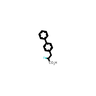 O=C(O)C(F)Cc1ccc(-c2ccccc2)cc1